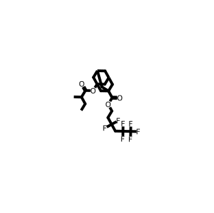 CCC(C)C(=O)OC12CC3CC(C1)CC(C(=O)OCCC(F)(F)CC(F)(F)C(F)(F)F)(C3)C2